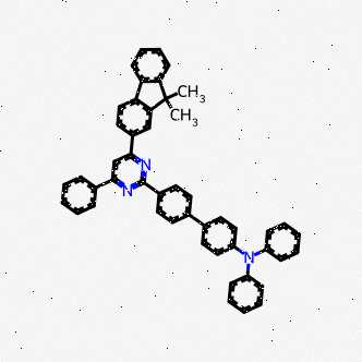 CC1(C)c2ccccc2-c2ccc(-c3cc(-c4ccccc4)nc(-c4ccc(-c5ccc(N(c6ccccc6)c6ccccc6)cc5)cc4)n3)cc21